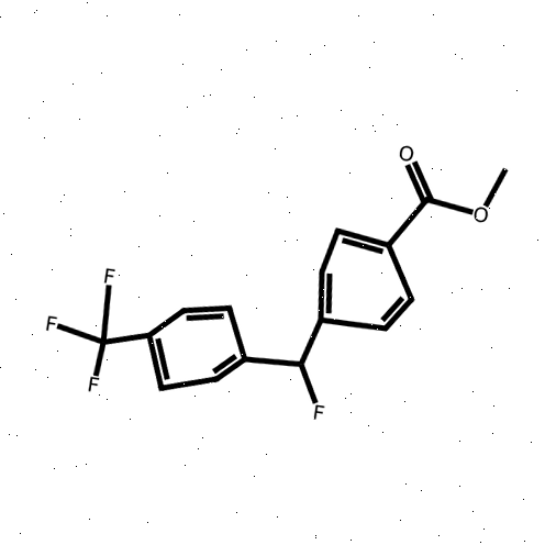 COC(=O)c1ccc(C(F)c2ccc(C(F)(F)F)cc2)cc1